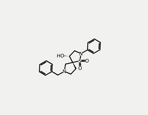 O=S1(=O)N(c2ccccc2)C[C@@H](O)[C@]12CCN(Cc1ccccc1)C2